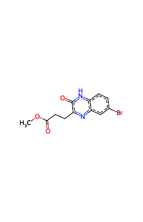 COC(=O)CCc1nc2cc(Br)ccc2[nH]c1=O